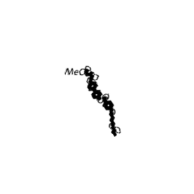 C=CC(=O)OCCCCOc1ccc(C(=O)Oc2ccc(-c3ccc(OC(=O)C(=C)CC(=O)OC)cc3)cc2)cc1